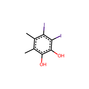 Cc1c(C)c(I)c(I)c(O)c1O